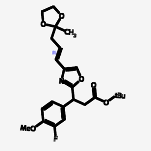 COc1ccc(C(CC(=O)OC(C)(C)C)c2nc(/C=C/CC3(C)OCCO3)co2)cc1F